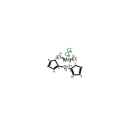 C1=CC[C]([Zr+2][C]2=CC=CC2)=C1.C[CH2][Mg][CH2]C.[Cl-].[Cl-]